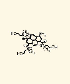 CN(CCO)S(=O)(=O)c1cc(N)c2ccc3c(S(=O)(=O)N(C)CCO)cc(S(=O)(=O)N(C)CCO)c4ccc1c2c34